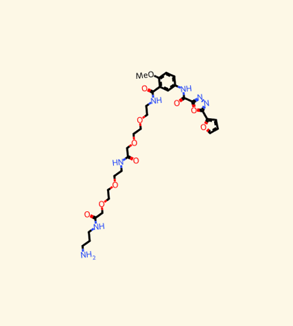 COc1ccc(NC(=O)c2nnc(-c3ccco3)o2)cc1C(=O)NCCOCCOCC(=O)NCCOCCOCC(=O)NCCCN